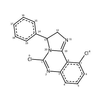 ClC1=Nc2cccc(Cl)c2C2=NCC(c3ccccc3)N12